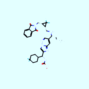 COC[C@@H](NC[C@H]1[C@@H](CN2C(=O)c3ccccc3C2=O)C1(F)F)c1cnn2cc([C@@H](NC(=O)OC(C)(C)C)C3CCC(F)(F)CC3)nc2c1